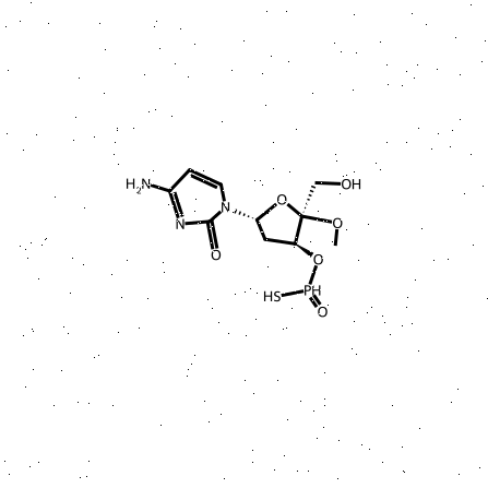 CO[C@]1(CO)O[C@@H](n2ccc(N)nc2=O)C[C@@H]1O[PH](=O)S